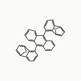 c1ccc2c(-c3cccc4c5ccc(o5)c34)c3ccccc3c(-c3cccc4c5ccc(o5)c34)c2c1